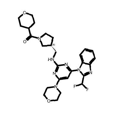 O=C(C1CCOCC1)N1CC[C@H](CNc2nc(N3CCOCC3)cc(-n3c(C(F)F)nc4ccccc43)n2)C1